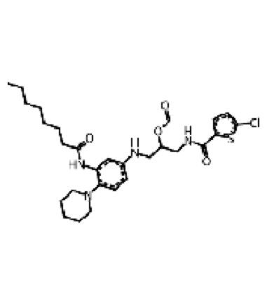 CCCCCCCC(=O)Nc1cc(NCC(CNC(=O)c2ccc(Cl)s2)OC=O)ccc1N1CCCCC1